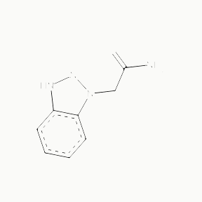 NC(=O)CN1NNc2ccccc21